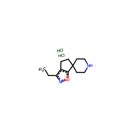 CCc1noc2c1CCC21CCNCC1.Cl.Cl